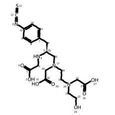 O=C(O)CN[C@@H](Cc1ccc(N=C=S)cc1)CN(CCN(CCO)CC(=O)O)CC(=O)O